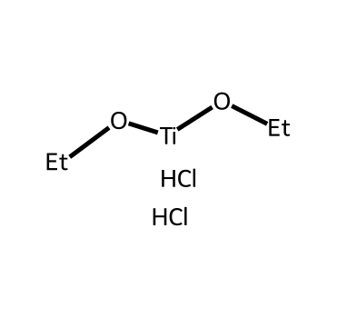 CC[O][Ti][O]CC.Cl.Cl